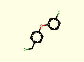 ClCc1ccc(Oc2cccc(Cl)c2)cc1